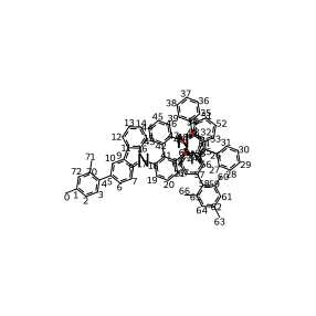 Cc1ccc(-c2ccc3c(c2)c2ccccc2n3-c2cccc(-c3nc(-c4ccccc4)cc(-c4ccccc4)n3)c2-c2ccccc2-n2c3ccccc3c3cc(-c4c(C)cc(C)cc4C)ccc32)c(C)c1